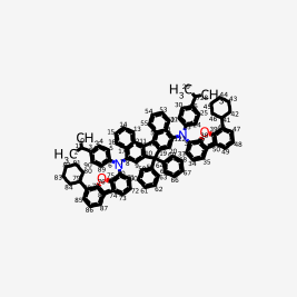 CC(C)c1ccc(N(c2cc3c(c4ccccc24)-c2c(cc(N(c4ccc(C(C)C)cc4)c4cccc5c4oc4c(C6CCCCC6)cccc45)c4ccccc24)C3(c2ccccc2)c2ccccc2)c2cccc3c2oc2c(C4CCCCC4)cccc23)cc1